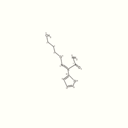 CCCCON=C(C(N)=O)c1ccco1